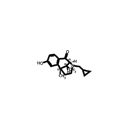 C[C@H]1[C@H]2C(=O)c3ccc(O)cc3[C@@]1(C)CCN2CC1CC1